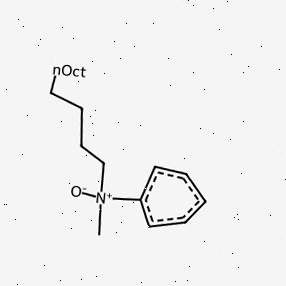 CCCCCCCCCCCC[N+](C)([O-])c1ccccc1